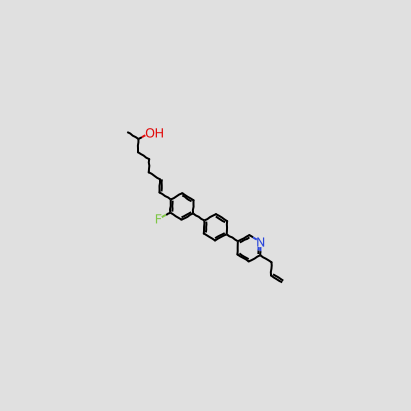 C=CCc1ccc(-c2ccc(-c3ccc(C=CCCCC(C)O)c(F)c3)cc2)cn1